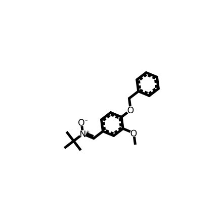 COc1cc(C=[N+]([O-])C(C)(C)C)ccc1OCc1ccccc1